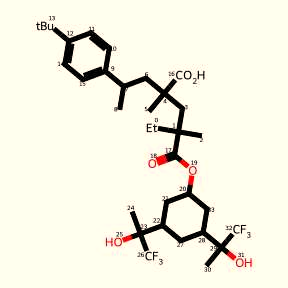 CCC(C)(CC(C)(CC(C)c1ccc(C(C)(C)C)cc1)C(=O)O)C(=O)OC1CC(C(C)(O)C(F)(F)F)CC(C(C)(O)C(F)(F)F)C1